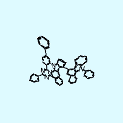 c1ccc(-c2ccc(-c3nc(-c4ccccc4)nc(-c4ccccc4)n3)c(-n3c4ccccc4c4c(-c5cc6ccccc6c6c5c5ccccc5n6-c5ccccc5)cccc43)c2)cc1